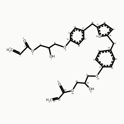 C=CC(=O)OCC(O)COc1ccc(Cc2ccc(Cc3ccc(OCC(O)COC(=O)C=C)cc3)o2)cc1